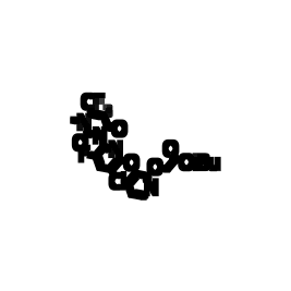 CC(C)COC(=O)COc1ncccc1Oc1nc(-n2c(=O)cc(C(F)(F)F)n(C)c2=O)c(F)cc1Cl